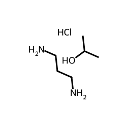 CC(C)O.Cl.NCCCN